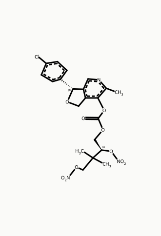 Cc1ncc2c(c1OC(=O)OC[C@@H](O[N+](=O)[O-])C(C)(C)CO[N+](=O)[O-])CO[C@@H]2c1ccc(Cl)cc1